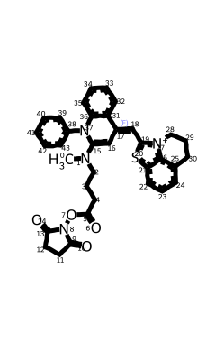 CN(CCCC(=O)ON1C(=O)CCC1=O)C1=C/C(=C\c2sc3cccc4c3[n+]2CCC4)c2ccccc2N1c1ccccc1